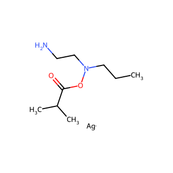 CCCN(CCN)OC(=O)C(C)C.[Ag]